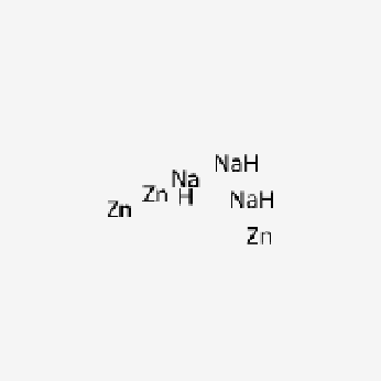 [NaH].[NaH].[NaH].[Zn].[Zn].[Zn]